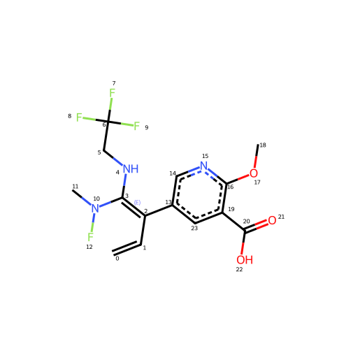 C=C/C(=C(/NCC(F)(F)F)N(C)F)c1cnc(OC)c(C(=O)O)c1